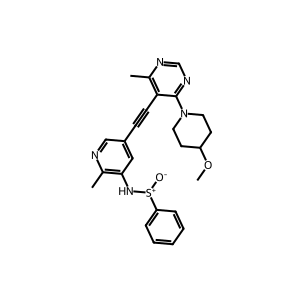 COC1CCN(c2ncnc(C)c2C#Cc2cnc(C)c(N[S+]([O-])c3ccccc3)c2)CC1